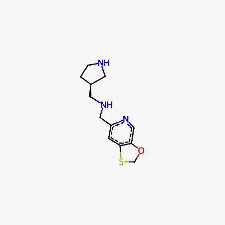 c1nc(CNC[C@H]2CCNC2)cc2c1OCS2